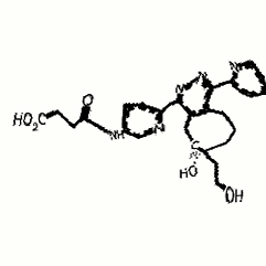 O=C(O)CCC(=O)Nc1ccc(-c2nnc(-c3ccccn3)c3c2CC[C@](O)(CCO)CCC3)nc1